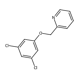 Clc1cc(Cl)cc(OCc2ccccn2)c1